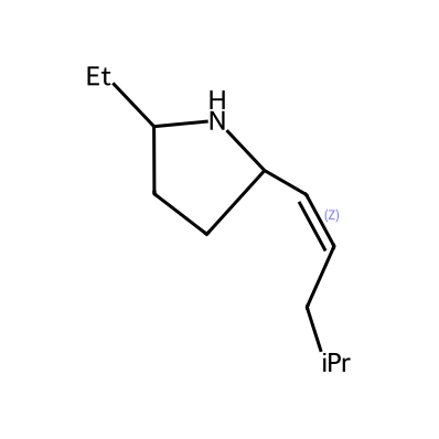 CCC1CCC(/C=C\CC(C)C)N1